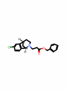 O=C(CCN1CC[C@@H]2C[C@@H]1c1ccc(Cl)cc12)OCc1ccccc1